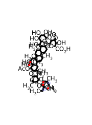 C/C=C(/C)C(=O)OC1C(O)[C@H](O[C@H]2[C@H](OC(C)=O)[C@@]3(CO)C(CC2(C)C)C2=CCC4[C@@]5(C)CC[C@H](O[C@@H]6OC(C(=O)O)[C@@H](O)C(OO)C6O[C@@H]6OC(CO)[C@H](O)C(O)C6O)C(C)(C)C5CC[C@@]4(C)[C@]2(C)C[C@H]3O)OC(C)[C@@H]1OC(=O)/C(C)=C\C